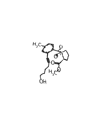 COC(=O)[C@@H]1CCCN1S(=O)(=O)c1ccc(C)cc1C#CCCCCO